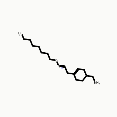 CCCCCCCCO/N=C/CC1=CCC(CN)CC1